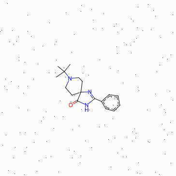 CC(C)(C)N1CCC2(CC1)N=C(c1ccccc1)NC2=O